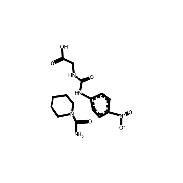 NC(=O)N1CCCCC1.O=C(O)CNC(=O)Nc1ccc([N+](=O)[O-])cc1